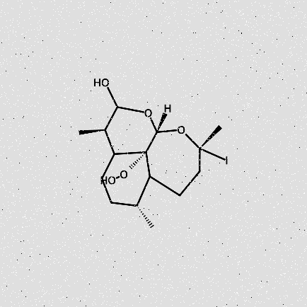 C[C@H]1C(O)O[C@@H]2O[C@](C)(I)CCC3[C@H](C)CCC1[C@]32OO